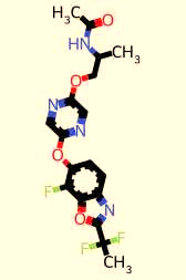 CC(=O)NC(C)COc1cnc(Oc2ccc3nc(C(C)(F)F)oc3c2F)cn1